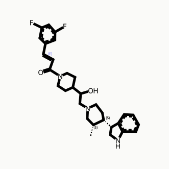 C[C@@H]1CN(CC(O)C2CCN(C(=O)/C=C/c3cc(F)cc(F)c3)CC2)CC[C@@H]1C1CNc2ccccc21